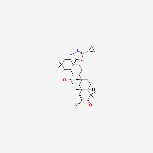 CC1(C)CC[C@]2(C3NN=C(C4CC4)O3)CC[C@]3(C)C(C(=O)C=C4[C@@]5(C)C=C(C#N)C(=O)C(C)(C)[C@@H]5CC[C@]43C)C2C1